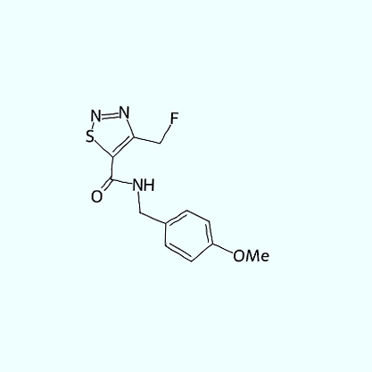 COc1ccc(CNC(=O)c2snnc2CF)cc1